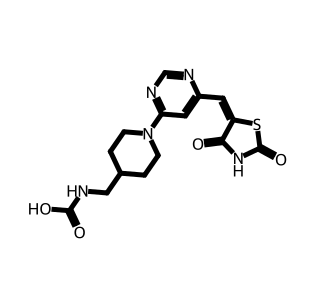 O=C(O)NCC1CCN(c2cc(C=C3SC(=O)NC3=O)ncn2)CC1